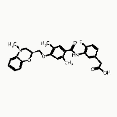 Cc1cc(C(=O)Nc2cc(CC(=O)O)ccc2F)c(C)cc1OC[C@@H]1CN(C)c2ccccc2O1